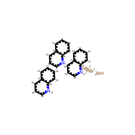 Br.Br.Br.c1ccc2ncccc2c1.c1ccc2ncccc2c1.c1ccc2ncccc2c1